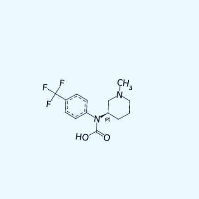 CN1CCC[C@@H](N(C(=O)O)c2ccc(C(F)(F)F)cc2)C1